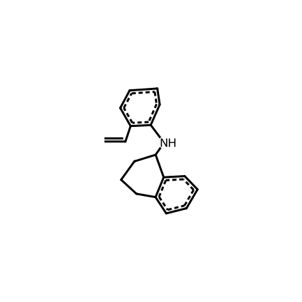 C=Cc1ccccc1NC1CCCc2ccccc21